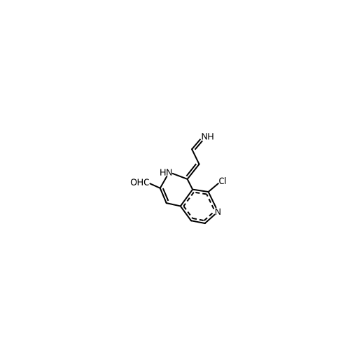 N=C/C=C1\NC(C=O)=Cc2ccnc(Cl)c21